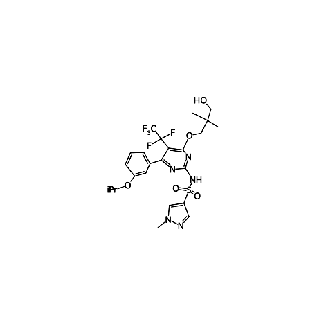 CC(C)Oc1cccc(-c2nc(NS(=O)(=O)c3cnn(C)c3)nc(OCC(C)(C)CO)c2C(F)(F)C(F)(F)F)c1